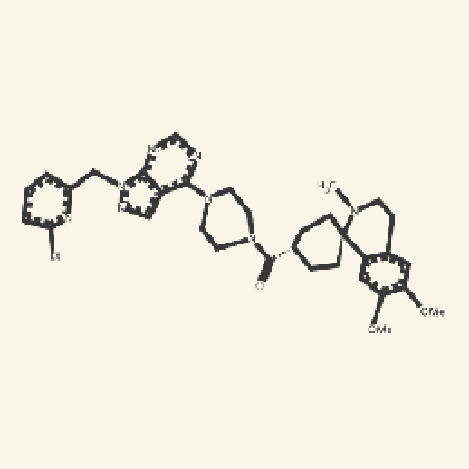 CCc1cccc(Cn2ncc3c(N4CCN(C(=O)[C@H]5CC[C@]6(CC5)c5cc(OC)c(OC)cc5CCN6C)CC4)ncnc32)n1